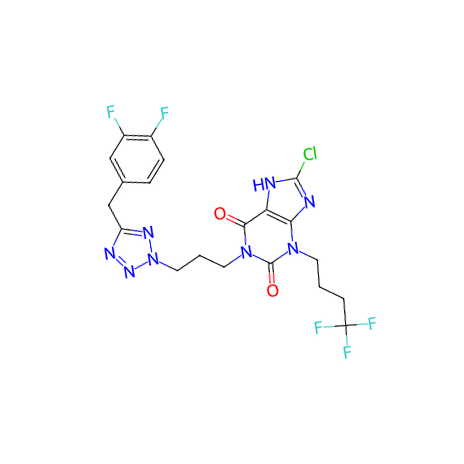 O=c1c2[nH]c(Cl)nc2n(CCCC(F)(F)F)c(=O)n1CCCn1nnc(Cc2ccc(F)c(F)c2)n1